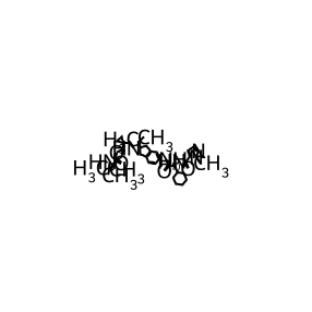 CC(C)C1(NCC2(COC(=O)NC(C)(C)C)CC2)Cc2ccc(NC(=O)[C@@H](NC(=O)c3ccnn3C)C3CCCCC3)cc2C1